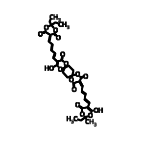 CCC1(C)OC(=O)C(/C=C/C=C/C=C2C(=O)OC3(CCC4(CC3)OC(=O)C(/C=C/C=C/C=C3C(=O)OC(CC)(CC)OC3=O)=C(O)O4)OC2=O)=C(O)O1